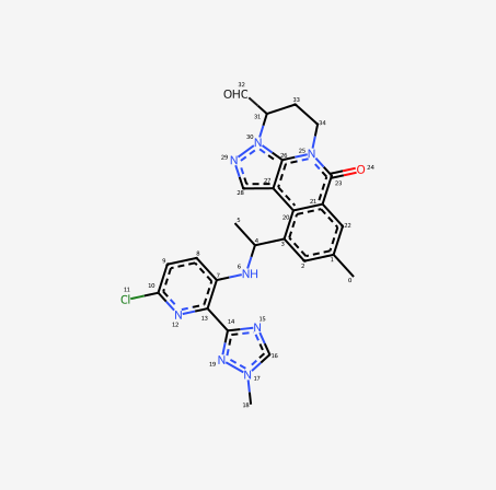 Cc1cc(C(C)Nc2ccc(Cl)nc2-c2ncn(C)n2)c2c(c1)c(=O)n1c3c2cnn3C(C=O)CC1